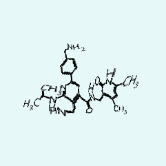 Cc1cc(C)c(CNC(=O)c2cc(-c3ccc(CN)cc3)nc(NC(C)C)c2C=N)c(=O)[nH]1